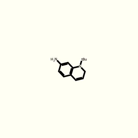 CC(C)(C)N1CC=Cc2ccc(N)cc21